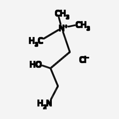 C[N+](C)(C)CC(O)CN.[Cl-]